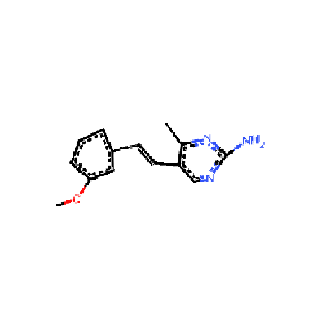 COc1cccc(C=Cc2cnc(N)nc2C)c1